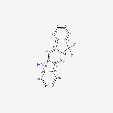 CC1(C)c2ccccc2-c2cc3c(cc21)C1C=CC=CC1N3